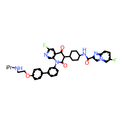 CC(C)NCCOc1ccc(-c2cccc(N3C(=O)C(C4CCC(NC(=O)c5cn6cc(F)ccc6n5)CC4)C(=O)c4cc(F)ncc43)c2)cc1